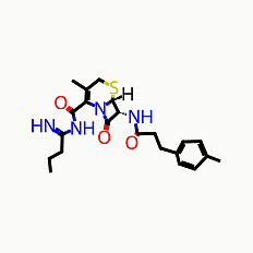 CCCC(=N)NC(=O)C1=C(C)CS[C@@H]2[C@H](NC(=O)CCc3ccc(C)cc3)C(=O)N12